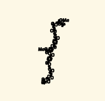 C=C(C)C(=O)OCC(COC)OC(=O)CCC(=O)OCCOC(=O)C1CCC(C(=O)Oc2ccc(OC(=O)C3CCC(C(=O)OCCOC(=O)CCC(=O)OCC(COC)OC(=O)C(=C)C)CC3)cc2C(=O)OC)CC1